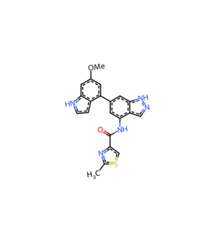 COc1cc(-c2cc(NC(=O)c3csc(C)n3)c3cn[nH]c3c2)c2cc[nH]c2c1